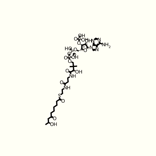 CC(O)CC(=O)CCCCCC(=O)SCCNC(=O)CCNC(=O)[C@H](O)C(C)(C)COP(=O)(O)OP(=O)(O)OC[C@H]1O[C@@H](n2cnc3c(N)ncnc32)[C@H](O)[C@@H]1OP(=O)(O)O